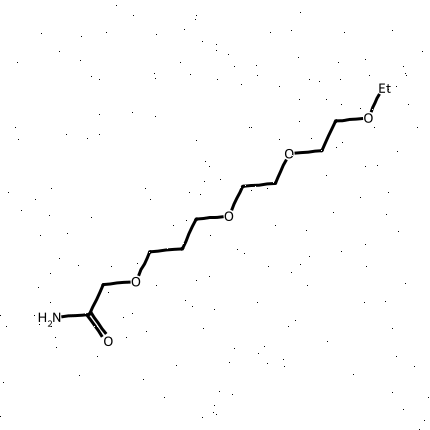 CCOCCOCCOCCCOCC(N)=O